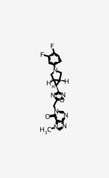 Cn1cnc2ncn(Cc3nc([C@H]4[C@@H]5CN(c6ccc(F)c(F)c6)C[C@@H]54)no3)c(=O)c21